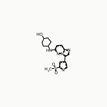 CS(=O)(=O)c1cc(-c2cnc3ccc(NC4CCC(O)CC4)nn23)ccn1